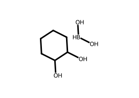 OBO.OC1CCCCC1O